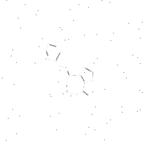 CC1CC(=NNc2ccccn2)c2cc[nH]c2C(=O)N1